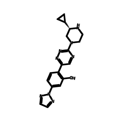 Oc1cc(-n2nccn2)ccc1-c1cnc(N2CCN[C@@H](C3CC3)C2)nn1